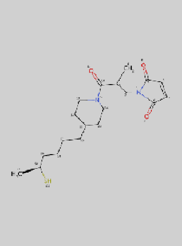 CC(CN1C(=O)C=CC1=O)C(=O)N1CCC(CCCC[C@H](C)S)CC1